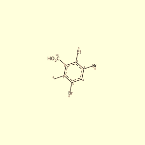 CCc1c(Br)cc(Br)c(C)c1C(=O)O